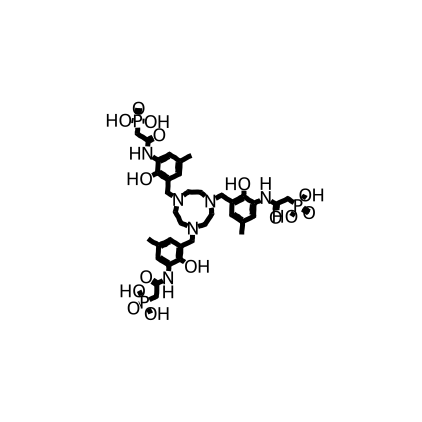 Cc1cc(CN2CCN(Cc3cc(C)cc(NC(=O)CP(=O)(O)O)c3O)CCN(Cc3cc(C)cc(NC(=O)CP(=O)(O)O)c3O)CC2)c(O)c(NC(=O)CP(=O)(O)O)c1